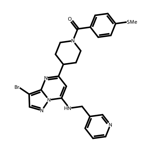 CSc1ccc(C(=O)N2CCC(c3cc(NCc4cccnc4)n4ncc(Br)c4n3)CC2)cc1